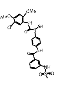 COc1cc(OC)c(NC(=O)N(S)c2ccc(NC(=O)c3cccc(NS(C)(=O)=O)c3)cc2)cc1Cl